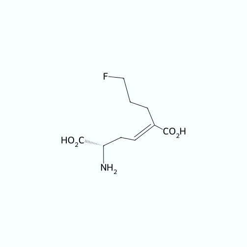 N[C@@H](CC=C(CCCF)C(=O)O)C(=O)O